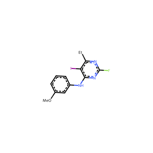 CCc1nc(F)nc(Nc2cccc(OC)c2)c1I